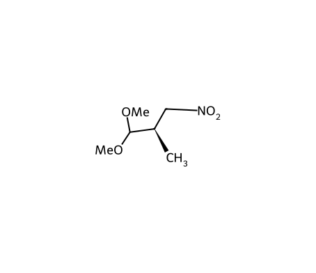 COC(OC)[C@H](C)C[N+](=O)[O-]